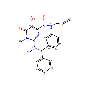 C=CCNC(=O)c1nc(N(C)C(c2ccccc2)c2ccccc2)n(C)c(=O)c1O